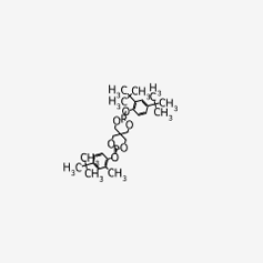 Cc1cc(C(C)(C)C)ccc1OP1OCC2(CO1)COP(Oc1ccc(C(C)(C)C)cc1C(C)(C)C)OC2